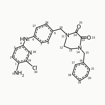 Nc1ccc(Nc2ccc(CN3CCN(Cc4ccccc4)C(=O)C3=O)cc2)nc1Cl